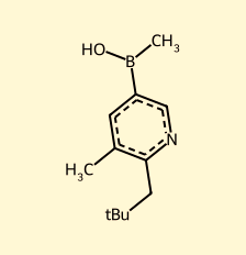 CB(O)c1cnc(CC(C)(C)C)c(C)c1